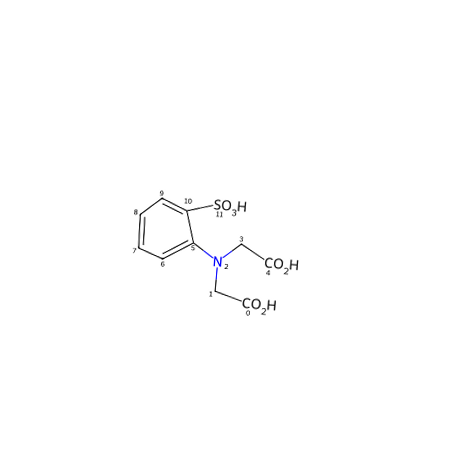 O=C(O)CN(CC(=O)O)c1ccccc1S(=O)(=O)O